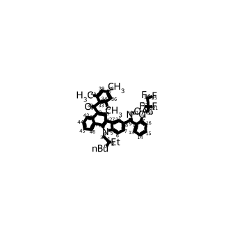 CCCCC(CC)Cn1c2ccc(C(=NOC(C)=O)c3ccccc3OCC(F)(F)C(F)F)cc2c2cc(C(=O)c3c(C)cc(C)cc3C)c3ccccc3c21